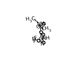 CCCCCNC(=O)[C@H](c1ccccc1)N(C)Cc1ccc2nc(NC(=O)c3cccnc3-c3ccc(C(F)(F)F)cc3)ccc2c1